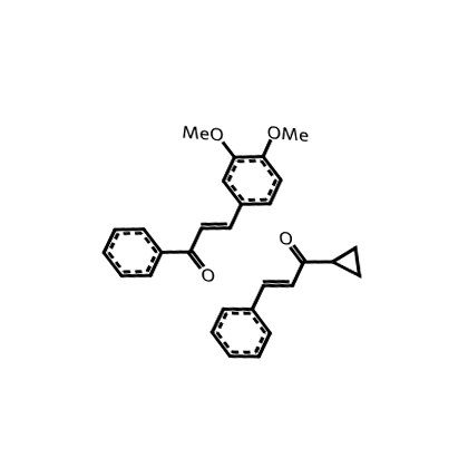 COc1ccc(C=CC(=O)c2ccccc2)cc1OC.O=C(C=Cc1ccccc1)C1CC1